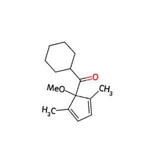 COC1(C(=O)C2CCCCC2)C(C)=CC=C1C